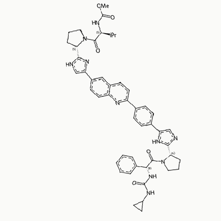 COC(=O)N[C@H](C(=O)N1CCC[C@H]1c1nc(-c2ccc3nc(-c4ccc(-c5cnc([C@@H]6CCCN6C(=O)[C@H](NC(=O)NC6CC6)c6ccccc6)[nH]5)cc4)ccc3c2)c[nH]1)C(C)C